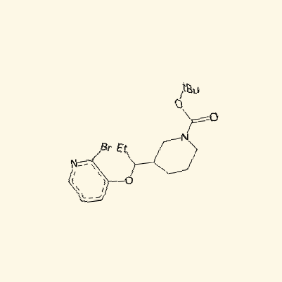 CCC(Oc1cccnc1Br)C1CCCN(C(=O)OC(C)(C)C)C1